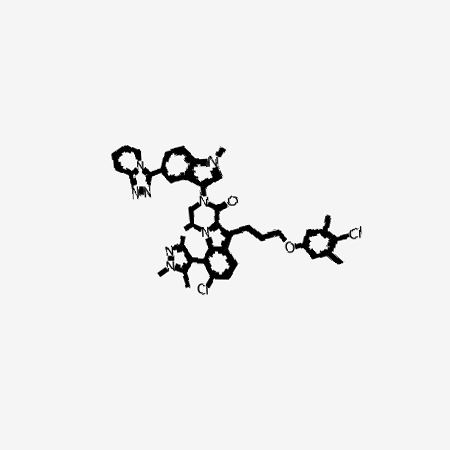 Cc1cc(OCCCc2c3n(c4c(-c5c(C)nn(C)c5C)c(Cl)ccc24)C(C)CN(c2cn(C)c4ccc(-c5nnc6ccccn56)cc24)C3=O)cc(C)c1Cl